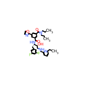 CCCN(CCC)C(=O)c1cc(C(=O)N[C@@H](Cc2cc(F)cc(F)c2)[C@H](O)CNCc2cccc(CC)n2)cc(-c2ncco2)c1